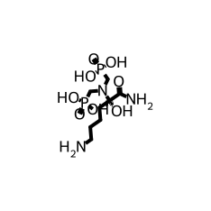 NCCCC[C@@](O)(C(N)=O)N(CP(=O)(O)O)CP(=O)(O)O